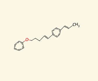 CC=Cc1ccc(C=CCCCOc2ccccc2)cc1